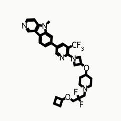 Cn1c2ccncc2c2ccc(-c3cnc(N4CC(OC5CCN(CC(F)(F)COC6CCC6)CC5)C4)c(C(F)(F)F)c3)cc21